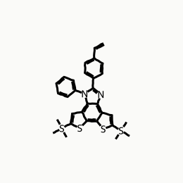 C=Cc1ccc(-c2nc3c4cc(S(C)(C)C)sc4c4sc(S(C)(C)C)cc4c3n2-c2ccccc2)cc1